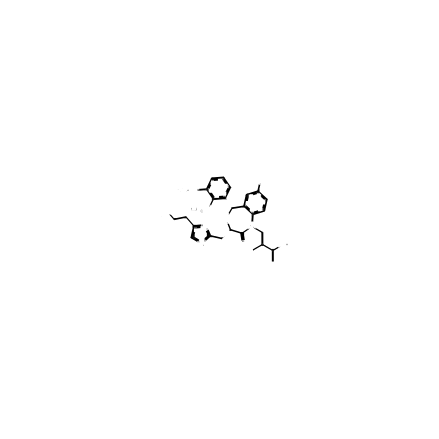 COc1cccc([C@H]2O[C@H](Cc3ncc(CCC(=O)O)o3)C(=O)N(CC(C)C(C)O)c3ccc(Cl)cc32)c1OC